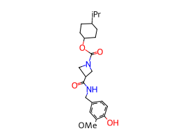 COc1cc(CNC(=O)C2CN(C(=O)OC3CCC(C(C)C)CC3)C2)ccc1O